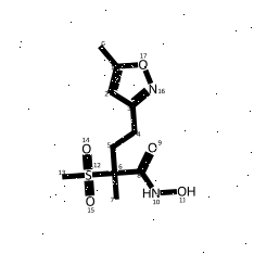 Cc1cc(CCC(C)(C(=O)NO)S(C)(=O)=O)no1